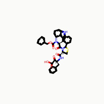 O=C(N[C@@H](Cc1c[nH]c2ccccc12)C(=O)N1C(c2ccccc2)SC[C@H]1C(=O)N[C@@H](Cc1ccccc1)C(=O)C(=O)O)OCc1ccccc1